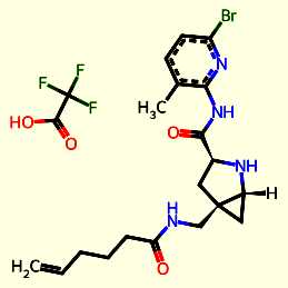 C=CCCCC(=O)NC[C@@]12C[C@@H](C(=O)Nc3nc(Br)ccc3C)N[C@@H]1C2.O=C(O)C(F)(F)F